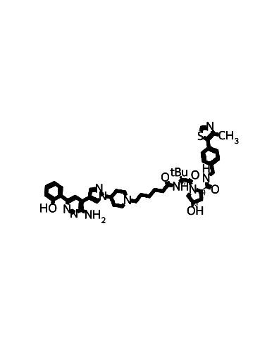 Cc1ncsc1-c1ccc(CNC(=O)[C@@H]2C[C@@H](O)CN2C(=O)[C@@H](NC(=O)CCCCCN2CCC(n3cc(-c4cc(-c5ccccc5O)nnc4N)cn3)CC2)C(C)(C)C)cc1